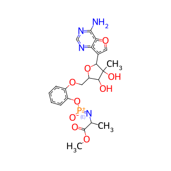 COC(=O)C(C)/N=[P+](\[O-])Oc1ccccc1OCC1OC(c2coc3c(N)ncnc23)C(C)(O)C1O